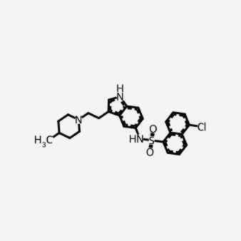 CC1CCN(CCc2c[nH]c3ccc(NS(=O)(=O)c4cccc5c(Cl)cccc45)cc23)CC1